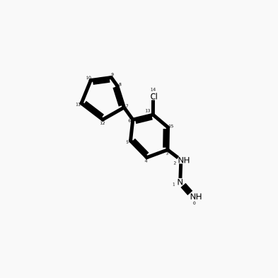 N=NNc1ccc(-c2ccccc2)c(Cl)c1